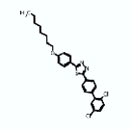 CCCCCCCCOc1ccc(-c2nnc(-c3ccc(-c4cc(Cl)ccc4Cl)cc3)s2)cc1